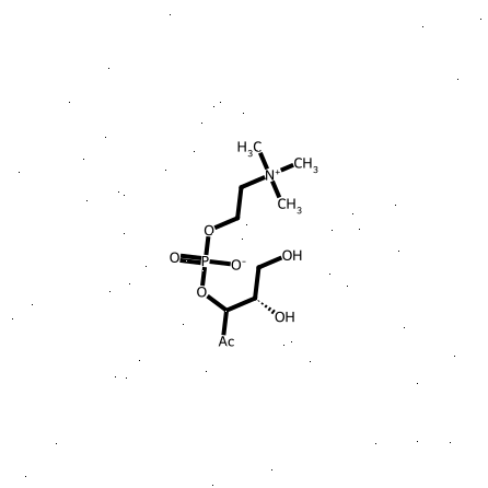 CC(=O)C(OP(=O)([O-])OCC[N+](C)(C)C)[C@@H](O)CO